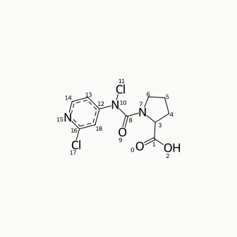 O=C(O)C1CCCN1C(=O)N(Cl)c1ccnc(Cl)c1